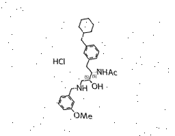 COc1cccc(CNC[C@H](O)[C@H](Cc2cccc(CC3CCCCC3)c2)NC(C)=O)c1.Cl